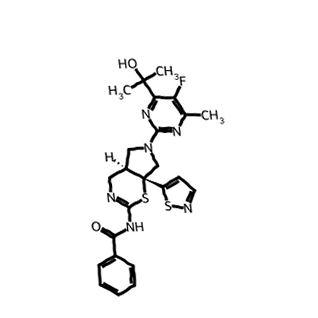 Cc1nc(N2C[C@@H]3CN=C(NC(=O)c4ccccc4)S[C@@]3(c3ccns3)C2)nc(C(C)(C)O)c1F